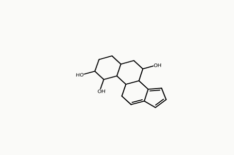 OC1CCC2CC(O)C3C4=CC=CC4=CCC3C2C1O